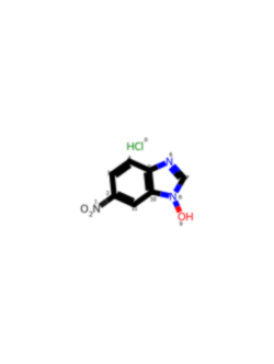 Cl.O=[N+]([O-])c1ccc2ncn(O)c2c1